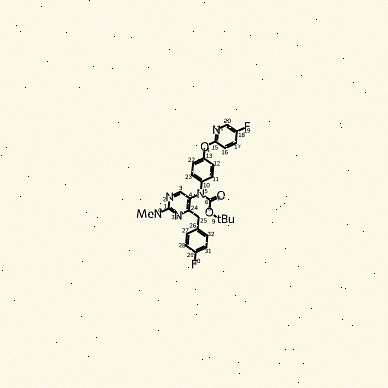 CNc1ncc(N(C(=O)OC(C)(C)C)c2ccc(Oc3ccc(F)cn3)cc2)c(Cc2ccc(F)cc2)n1